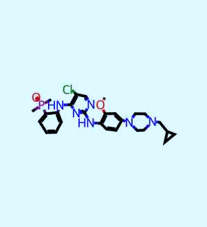 COc1cc(N2CCN(CC3CC3)CC2)ccc1Nc1ncc(Cl)c(Nc2ccccc2P(C)(C)=O)n1